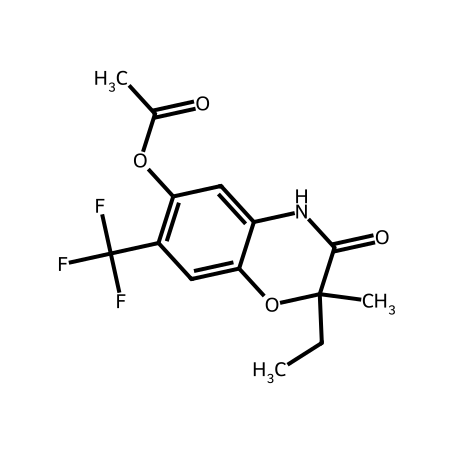 CCC1(C)Oc2cc(C(F)(F)F)c(OC(C)=O)cc2NC1=O